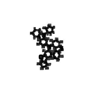 c1ccc(-n2c3ccccc3c3ccc(N(c4ccc5c(c4)oc4ccccc45)c4cccc5sc6ccccc6c45)cc32)cc1